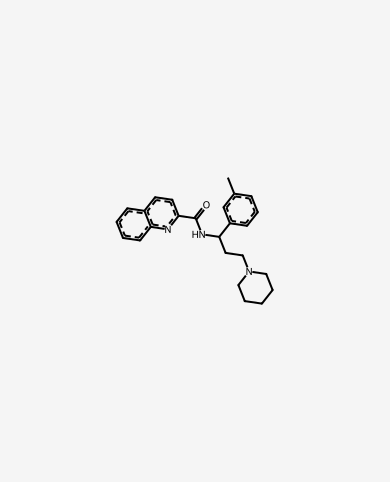 Cc1cccc(C(CCN2CCCCC2)NC(=O)c2ccc3ccccc3n2)c1